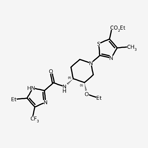 CCOC(=O)c1sc(N2CC[C@@H](NC(=O)c3nc(C(F)(F)F)c(CC)[nH]3)[C@@H](OCC)C2)nc1C